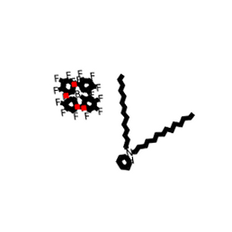 CCCCCCCCCCCCCC[NH+](CCCCCCCCCCCCCC)c1ccccc1.Fc1c(F)c(F)c([B-](c2c(F)c(F)c(F)c(F)c2F)(c2c(F)c(F)c(F)c(F)c2F)c2c(F)c(F)c(F)c(F)c2F)c(F)c1F